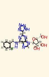 OC[C@H]1O[C@@H](n2cnc3c(NCc4ccccc4F)nc(-c4nnn[nH]4)nc32)[C@@H](O)[C@H]1O